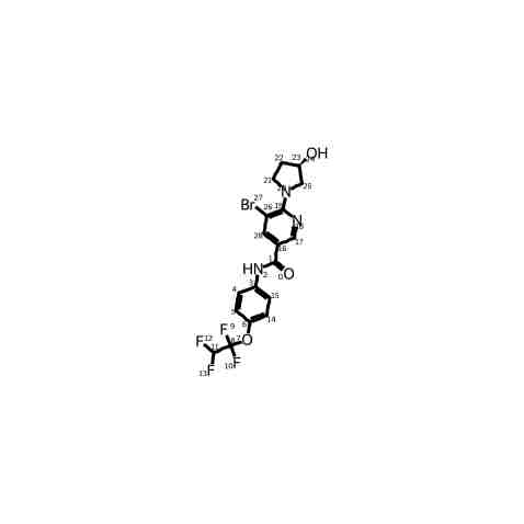 O=C(Nc1ccc(OC(F)(F)C(F)F)cc1)c1cnc(N2CC[C@@H](O)C2)c(Br)c1